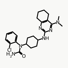 CN(C)c1nc(NC2CCC(N(C(N)=O)c3ccccc3Cl)CC2)nc2c1CCCC2